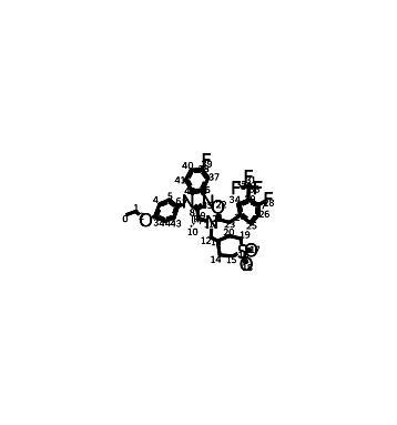 CCOc1ccc(-n2c([C@@H](C)N(CC3CCS(=O)(=O)CC3)C(=O)Cc3ccc(F)c(C(F)(F)F)c3)nc3cc(F)ccc32)cc1